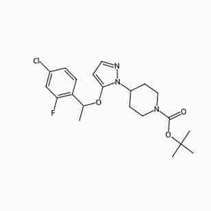 CC(Oc1ccnn1C1CCN(C(=O)OC(C)(C)C)CC1)c1ccc(Cl)cc1F